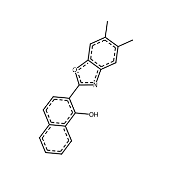 Cc1cc2nc(-c3ccc4ccccc4c3O)oc2cc1C